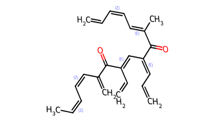 C=C/C=C\C=C(/C)C(=O)C(/C=C(\C=C)C(=O)C(=C)/C=C\C=C/C)=C/C=C